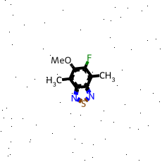 COc1c(F)c(C)c2nsnc2c1C